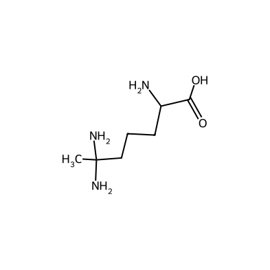 CC(N)(N)CCCC(N)C(=O)O